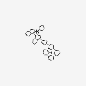 c1ccc(-n2c3ccc4ccccc4c3c3c4ccccc4c(-c4ccc(-c5ccc6c(c5)C(c5ccccc5)(c5ccccc5)c5ccccc5-6)cc4)cc32)cc1